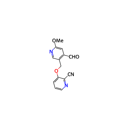 COc1cc(C=O)c(COc2cccnc2C#N)cn1